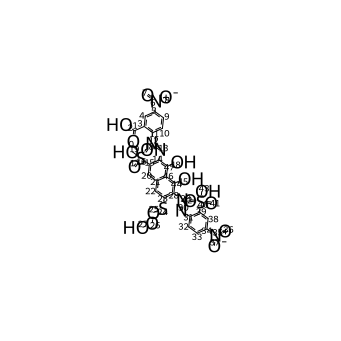 O=C(O)c1cc([N+](=O)[O-])ccc1/N=N/c1c(S(=O)(=O)O)cc2cc(SOOO)c(/N=N/c3ccc([N+](=O)[O-])cc3S(=O)(=O)O)c(O)c2c1O